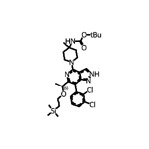 C[C@H](OCC[Si](C)(C)C)c1nc(N2CCC(C)(NC(=O)OC(C)(C)C)CC2)c2c[nH]nc2c1-c1cccc(Cl)c1Cl